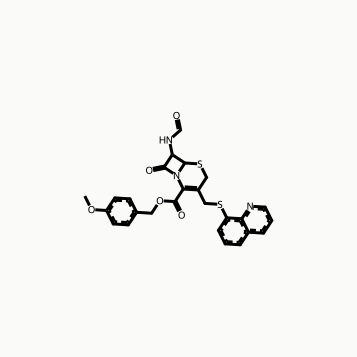 COc1ccc(COC(=O)C2=C(CSc3cccc4cccnc34)CSC3C(NC=O)C(=O)N23)cc1